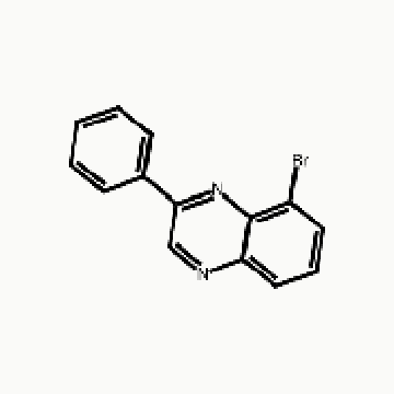 Brc1cccc2ncc(-c3ccccc3)nc12